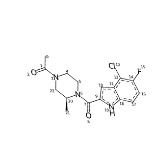 CC(=O)N1CCN(C(=O)c2cc3c(Cl)c(F)ccc3[nH]2)[C@@H](C)C1